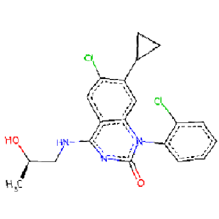 C[C@@H](O)CNc1nc(=O)n(-c2ccccc2Cl)c2cc(C3CC3)c(Cl)cc12